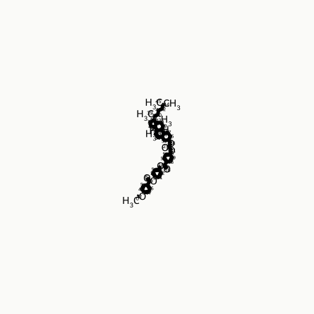 CCOc1ccc(C(=O)Oc2ccc(OC(=O)c3ccc(OC(=O)OC4CC[C@]5(C)C(C=CC6[C@H]7CC[C@@H](C(C)CCCC(C)C)[C@]7(C)CC[C@H]65)C4)cc3)cc2)cc1